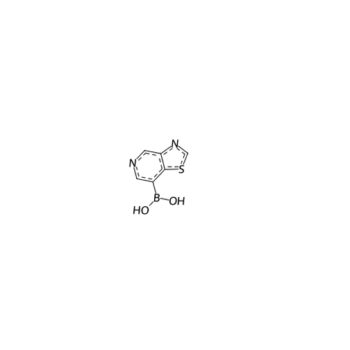 OB(O)c1cncc2ncsc12